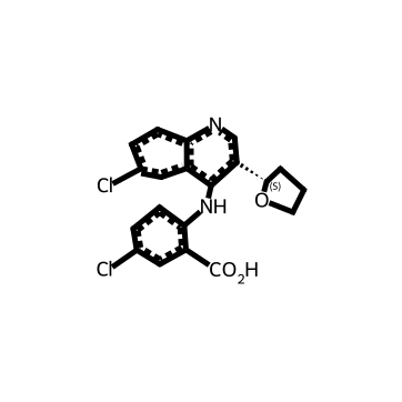 O=C(O)c1cc(Cl)ccc1Nc1c([C@@H]2CCCO2)cnc2ccc(Cl)cc12